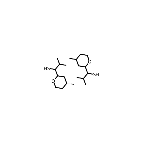 CC(C)C(S)C1C[C@H](C)CCO1.CC1CCOC(C(S)C(C)C)C1